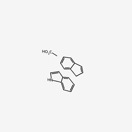 C1=Cc2ccccc2C1.CC(=O)O.c1ccc2[nH]ccc2c1